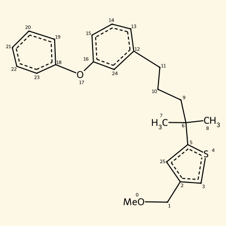 COCc1csc(C(C)(C)CCCc2cccc(Oc3ccccc3)c2)c1